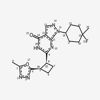 Cc1nnc([C@@H]2CC[C@@H]2c2nc3c(cnn3C3CCC(C)(F)CC3)c(=O)[nH]2)o1